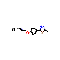 CCC/C=C/COc1ccc(-c2nnc(C)s2)cc1